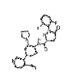 N#Cc1ccncc1-c1ccc(NC(=O)c2ccc(=O)n(-c3c(F)cccc3F)n2)c(N2CCCC2)c1